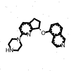 c1cc(O[C@H]2CCc3ccc(N4CCNCC4)nc32)c2ccncc2c1